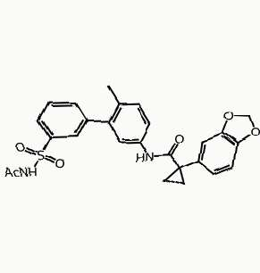 CC(=O)NS(=O)(=O)c1cccc(-c2cc(NC(=O)C3(c4ccc5c(c4)OCO5)CC3)ccc2C)c1